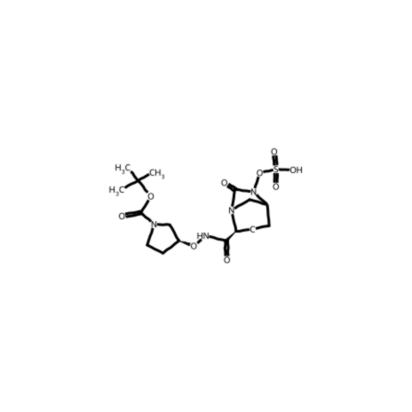 CC(C)(C)OC(=O)N1CC[C@H](ONC(=O)[C@@H]2CCC3CN2C(=O)N3OS(=O)(=O)O)C1